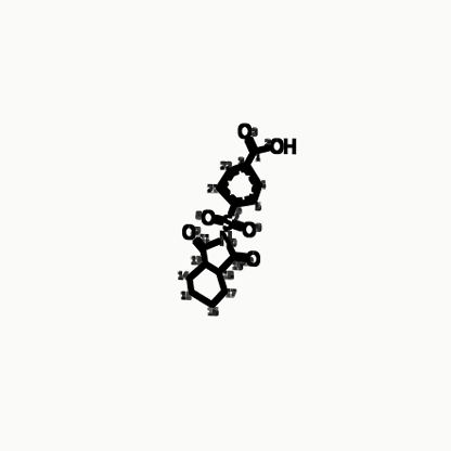 O=C(O)c1ccc(S(=O)(=O)N2C(=O)C3CCCCC3C2=O)cc1